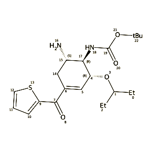 CCC(CC)O[C@@H]1C=C(C(=O)c2cccs2)C[C@H](N)[C@H]1NC(=O)OC(C)(C)C